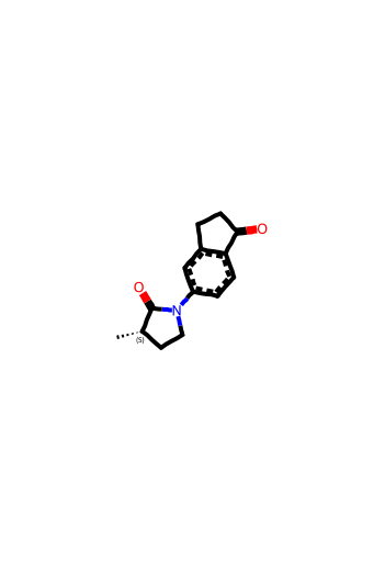 C[C@H]1CCN(c2ccc3c(c2)CCC3=O)C1=O